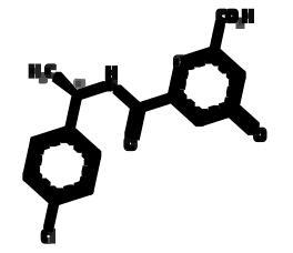 C[C@@H](NC(=O)c1cc(=O)cc(C(=O)O)o1)c1ccc(Cl)cc1